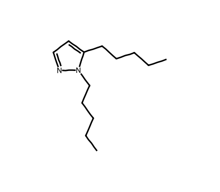 CCCCCc1ccnn1CCCCC